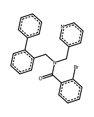 O=C(c1ccccc1Br)N(Cc1cccnc1)Cc1ccccc1-c1ccccc1